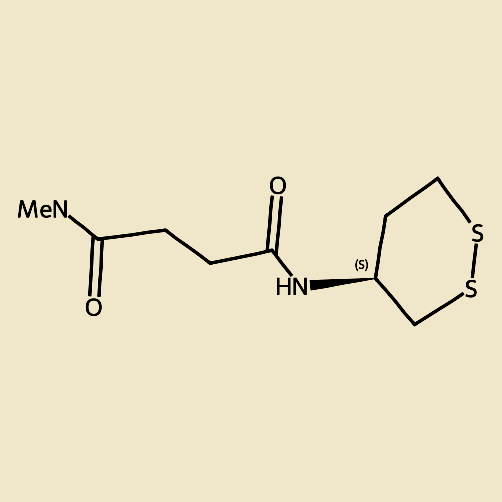 CNC(=O)CCC(=O)N[C@H]1CCSSC1